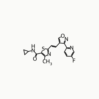 Cc1nc(C=Cc2conc2-c2ccc(F)cn2)sc1C(=O)NC1CC1